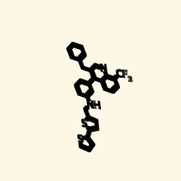 FC(F)(F)c1cccc2c(-c3cccc(NCc4ccc(-c5cccs5)s4)c3)c(Cc3ccccc3)cnc12